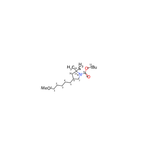 COCCCCCC1CN(C(=O)OC(C)(C)C)C(C)(C)C1